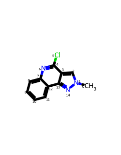 Cn1cc2c(Cl)nc3ccccc3c2n1